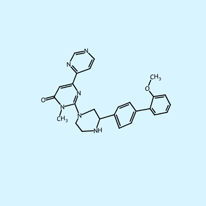 COc1ccccc1-c1ccc(C2CN(c3nc(-c4ccncn4)cc(=O)n3C)CCN2)cc1